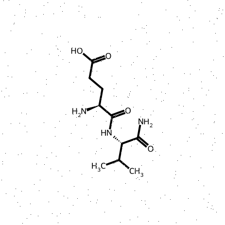 CC(C)[C@H](NC(=O)[C@@H](N)CCC(=O)O)C(N)=O